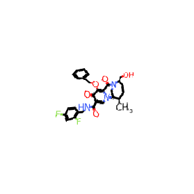 C[C@@H]1C=C[C@H](CO)N2CC1n1cc(C(=O)NCc3ccc(F)cc3F)c(=O)c(OCc3ccccc3)c1C2=O